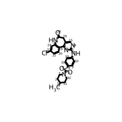 CC1CCN(S(=O)(=O)c2ccc(Nc3ncc4c(n3)-c3ccc(Cl)cc3NC(=O)C4)cc2)CC1